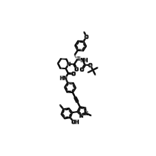 COc1ccc(C[C@H](NC(=O)OC(C)(C)C)C(=O)N2CCCCC2C(=O)Nc2ccc(C#Cc3cn(C)nc3-c3cc(C)ccc3O)cc2)cc1